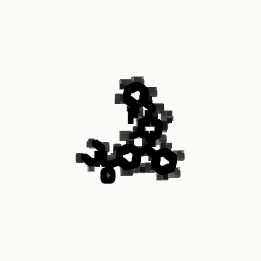 CCN(CC)C(=O)c1ccc(C(c2ccccc2)N2C[C@@H](C)N(Cc3ccccc3F)C[C@@H]2C)cc1